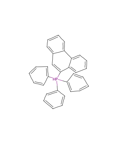 c1ccc([PH](c2ccccc2)(c2ccccc2)c2cc3ccccc3c3ccccc23)cc1